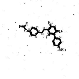 CCCCc1ccc(-c2c([O])cc(F)c(CCc3ccc(OC(F)F)cc3)c2F)cc1